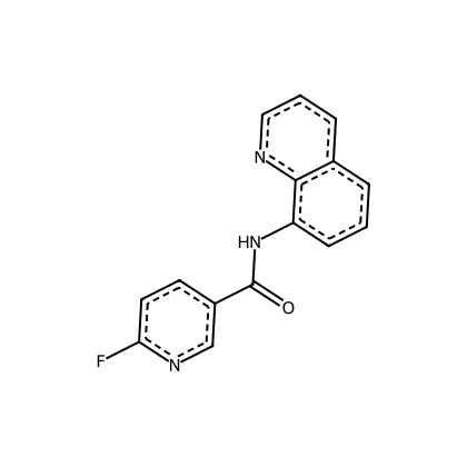 O=C(Nc1cccc2cccnc12)c1ccc(F)nc1